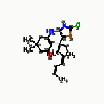 C=C(/C=C\C=C/C)[C@]1(CC)C2=C(CC(C)(C)CC2=O)Nc2nc(Cl)sc21